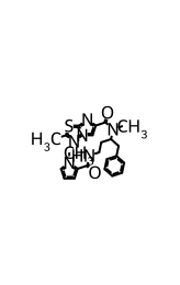 Cc1nn2cc(C(=O)N(C)C(CCNC(=O)c3cccn3C)Cc3ccccc3)nc2s1